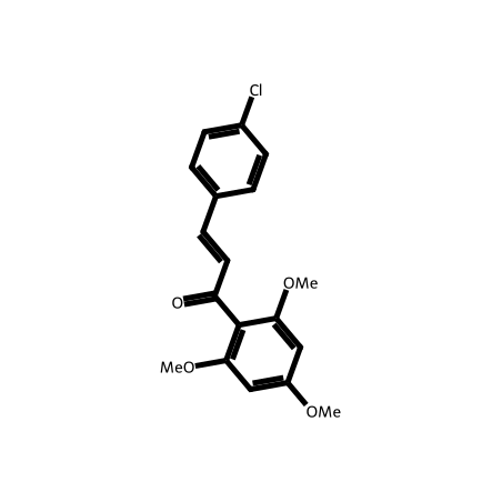 COc1cc(OC)c(C(=O)C=Cc2ccc(Cl)cc2)c(OC)c1